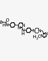 Cn1ccnc1CN1CCN(c2ccc(Nc3nccc(-c4ccc(NC(=O)C5CC5)cc4)n3)cc2)CC1